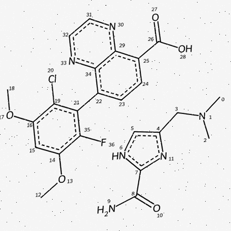 CN(C)Cc1c[nH]c(C(N)=O)n1.COc1cc(OC)c(Cl)c(-c2ccc(C(=O)O)c3nccnc23)c1F